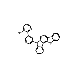 N#Cc1cccnc1-c1cccc(-n2c3ccccc3c3c4sc5ccccc5c4ccc32)c1